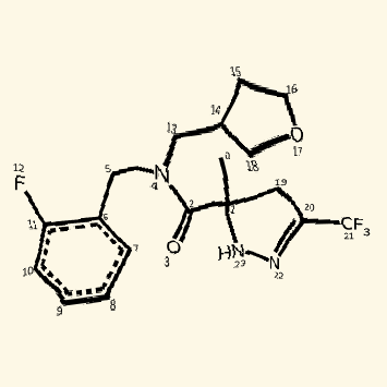 CC1(C(=O)N(Cc2ccccc2F)CC2CCOC2)CC(C(F)(F)F)=NN1